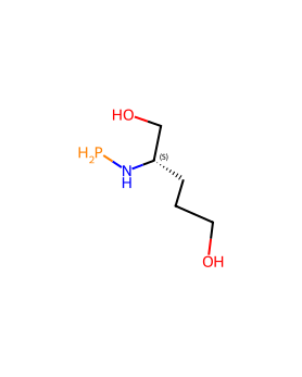 OCCC[C@@H](CO)NP